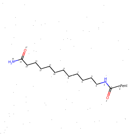 CCCCCC(=O)NCCCCCCCCCCCC(N)=O